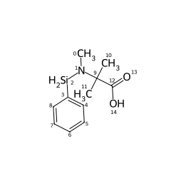 CN([SiH2]c1ccccc1)C(C)(C)C(=O)O